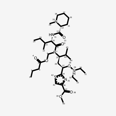 CCCC(=O)OCN(C(=O)[C@@H](NC(=O)[C@H]1CCCCN1C)C(C)CC)[C@H](C[C@@H](O[SiH](CC)CC)c1nc(C(=O)OC)cs1)C(C)C